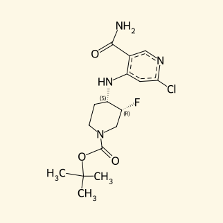 CC(C)(C)OC(=O)N1CC[C@H](Nc2cc(Cl)ncc2C(N)=O)[C@H](F)C1